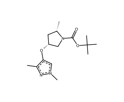 Cc1nn(C)cc1O[C@@H]1C[C@H](C)N(C(=O)OC(C)(C)C)C1